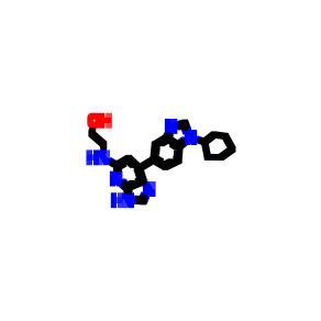 OCCNc1cc(-c2ccc3c(c2)ncn3C2CCCCC2)c2nc[nH]c2n1